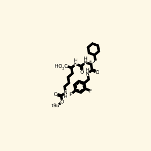 CC(C)(C)OC(=O)NCCCCC(NC(=O)N[C@H](CC1CCCCC1)C(=O)NCc1ccc(F)cc1F)C(=O)O